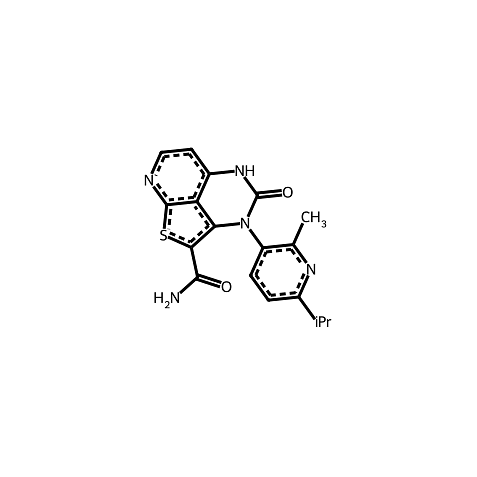 Cc1nc(C(C)C)ccc1N1C(=O)Nc2ccnc3sc(C(N)=O)c1c23